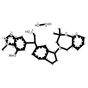 COc1cc(C(CC(=O)O)c2ccc3c(c2)C(N2Cc4cccnc4OC(C)(C)C2)CC3)cc2nnn(C)c12.O=CO